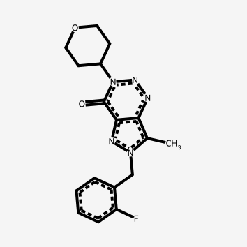 Cc1c2nnn(C3CCOCC3)c(=O)c2nn1Cc1ccccc1F